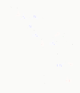 O=C(NC(CO)c1ccccc1)c1ccc(Cl)c(NC(=O)c2cc3cnc(N4CC5CCC(C4)O5)nc3[nH]c2=O)c1